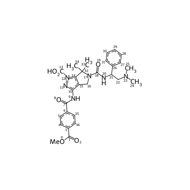 COC(=O)c1ccc(C(=O)Nc2nn(C(=O)O)c3c2CN(C(=O)NC(CN(C)C)c2ccccc2)C3(C)C)cc1